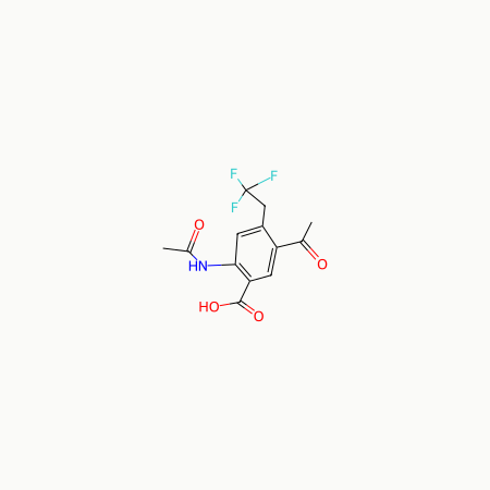 CC(=O)Nc1cc(CC(F)(F)F)c(C(C)=O)cc1C(=O)O